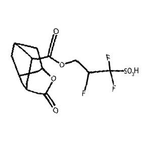 O=C(OCC(F)C(F)(F)S(=O)(=O)O)C1C2CC3OC(=O)C1C3C2